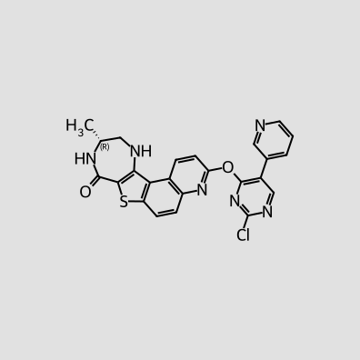 C[C@@H]1CNc2c(sc3ccc4nc(Oc5nc(Cl)ncc5-c5cccnc5)ccc4c23)C(=O)N1